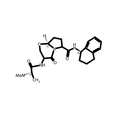 CN[C@@H](C)C(=O)NC1CO[C@H]2CCC(C(=O)N[C@@H]3CCCc4ccccc43)N2C1=O